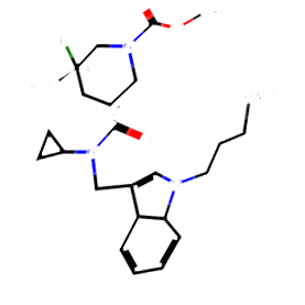 COCCCN1C=C(CN(C(=O)[C@H]2CN(C(=O)OC(C)(C)C)C[C@](F)(C(=O)O)C2)C2CC2)C2C=CC=CC21